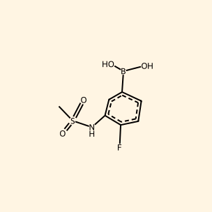 CS(=O)(=O)Nc1cc(B(O)O)ccc1F